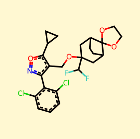 FC(F)C1(OCc2c(-c3c(Cl)cccc3Cl)noc2C2CC2)CC2CCC(C1)C21OCCO1